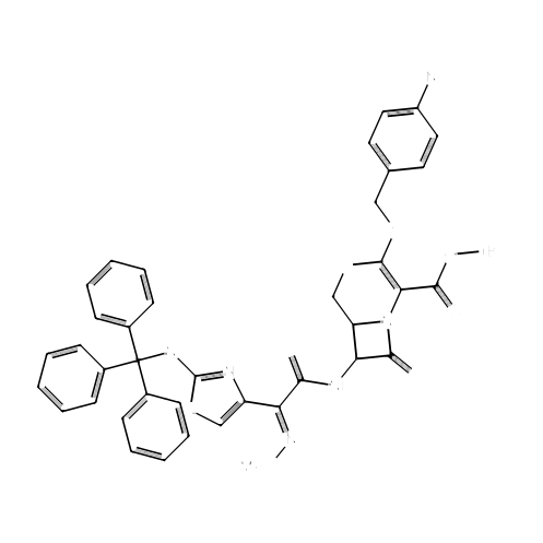 CON=C(C(=O)NC1C(=O)N2C(C(=O)OC(C)(C)C)=C(SCc3ccc([N+](=O)[O-])cc3)SCC12)c1csc(NC(c2ccccc2)(c2ccccc2)c2ccccc2)n1